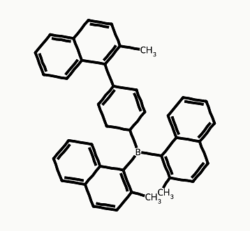 Cc1ccc2ccccc2c1B(c1c(C)ccc2ccccc12)C1C=CC(c2c(C)ccc3ccccc23)=CC1